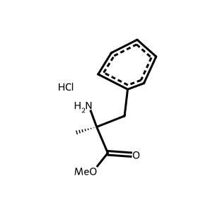 COC(=O)[C@@](C)(N)Cc1ccccc1.Cl